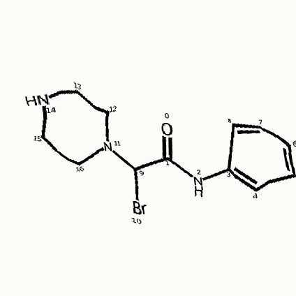 O=C(Nc1ccccc1)C(Br)N1CCNCC1